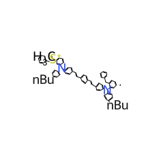 CCCCc1ccc(N(c2ccc(C=Cc3ccc(C=Cc4ccc(N(c5ccc(CCCC)cc5)c5c[c]ccc5Cc5ccccc5)cc4)cc3)cc2)c2cccc([S+](C)Cc3ccccc3)c2)cc1